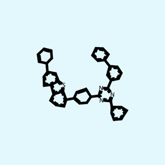 C1=CCC(c2ccc3c(c2)sc2c(C4=CCC(c5nc(-c6ccccc6)nc(-c6cccc(-c7ccccc7)c6)n5)C=C4)cccc23)C=C1